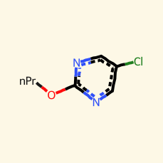 CCCOc1ncc(Cl)cn1